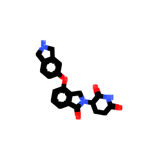 O=C1CCC(N2Cc3c(Oc4ccc5c(c4)CNC5)cccc3C2=O)C(=O)N1